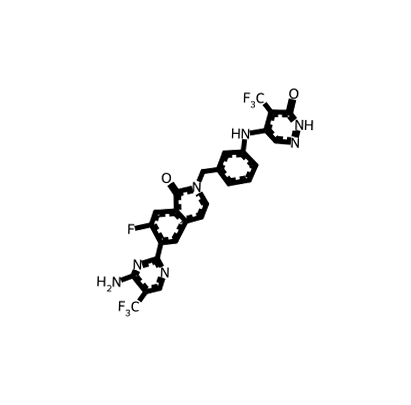 Nc1nc(-c2cc3ccn(Cc4cccc(Nc5cn[nH]c(=O)c5C(F)(F)F)c4)c(=O)c3cc2F)ncc1C(F)(F)F